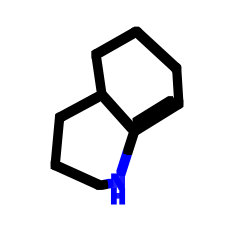 C1=C2NCCCC2CCC1